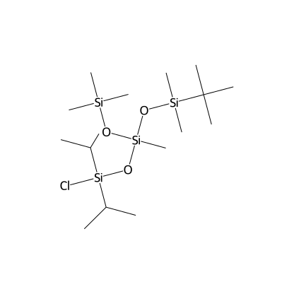 CC(C)[Si](Cl)(O[Si](C)(O[Si](C)(C)C)O[Si](C)(C)C(C)(C)C)C(C)C